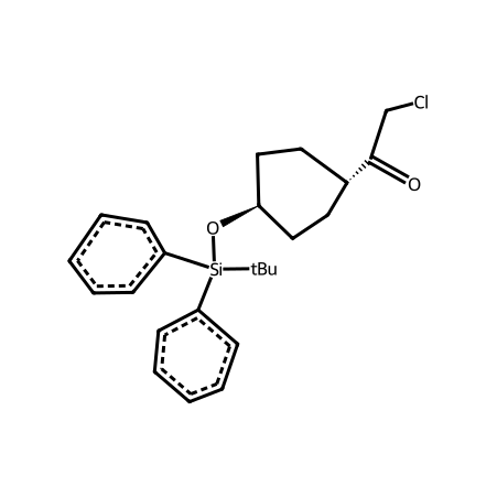 CC(C)(C)[Si](O[C@H]1CC[C@H](C(=O)CCl)CC1)(c1ccccc1)c1ccccc1